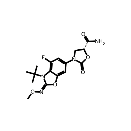 CO/N=c1/oc2cc(N3C[C@H](C(N)=O)OC3=O)cc(F)c2n1C(C)(C)C